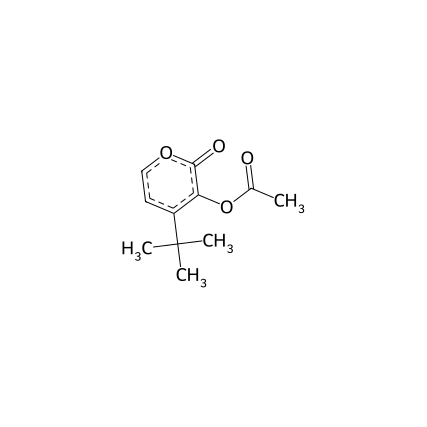 CC(=O)Oc1c(C(C)(C)C)ccoc1=O